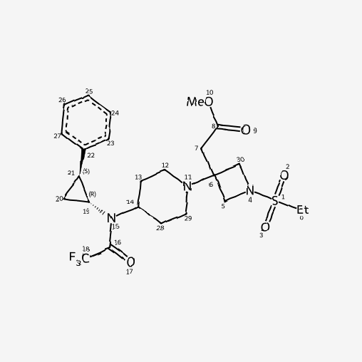 CCS(=O)(=O)N1CC(CC(=O)OC)(N2CCC(N(C(=O)C(F)(F)F)[C@@H]3C[C@H]3c3ccccc3)CC2)C1